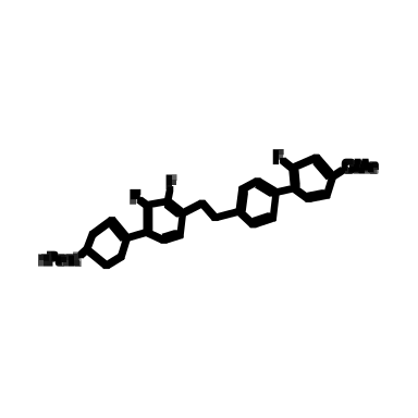 CCCCCC1CC=C(c2ccc(CCc3ccc(-c4ccc(OC)cc4F)cc3)c(F)c2F)CC1